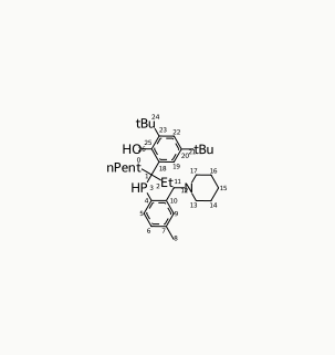 CCCCCC(CC)(Pc1ccc(C)cc1CN1CCCCC1)c1cc(C(C)(C)C)cc(C(C)(C)C)c1O